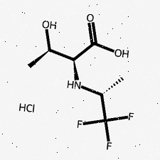 C[C@@H](O)[C@H](N[C@H](C)C(F)(F)F)C(=O)O.Cl